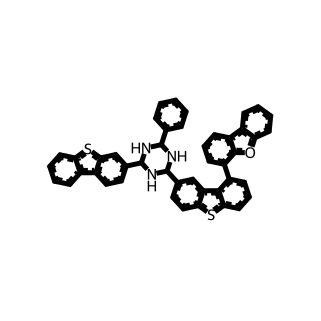 c1ccc(C2NC(c3ccc4c(c3)sc3ccccc34)NC(c3ccc4sc5cccc(-c6cccc7c6oc6ccccc67)c5c4c3)N2)cc1